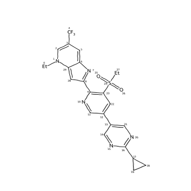 CCn1cc(C(F)(F)F)cc2nc(-c3ncc(-c4cnc(C5CC5)nc4)cc3S(=O)(=O)CC)cc1-2